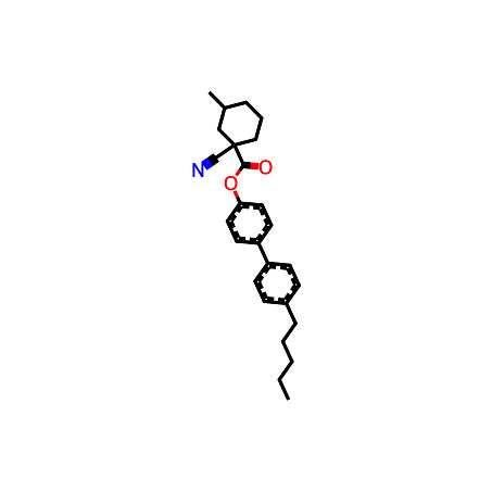 CCCCCc1ccc(-c2ccc(OC(=O)C3(C#N)CCCC(C)C3)cc2)cc1